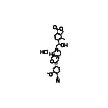 COc1cc([C@H]2CN3CCN(CC(O)c4ccc5c(c4C)COC5=O)C[C@H]3CO2)ccc1C#N.Cl